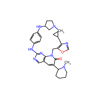 CN1CCC(Nc2ccc(Nc3ncc4cc(C5CCCCN5C)c(=O)n(Cc5ocnc5C5CC5)c4n3)cc2)C1